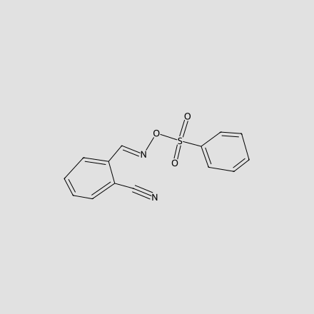 N#Cc1ccccc1C=NOS(=O)(=O)c1ccccc1